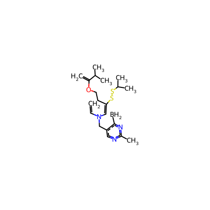 Bc1nc(C)ncc1CN(C=C)/C=C(\CCOC(=C)C(C)C)SSC(C)C